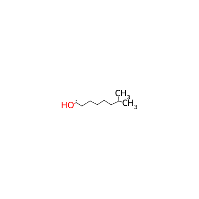 CC(C)CCCCC[CH]O